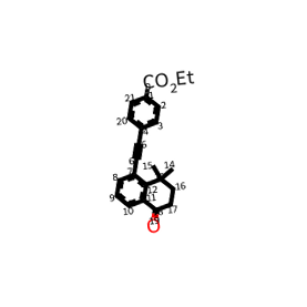 CCOC(=O)c1ccc(C#Cc2cccc3c2C(C)(C)CCC3=O)cc1